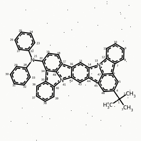 CC(C)(C)c1cc2c3ccccc3n3c4cc5c6ccc(N(c7ccccc7)c7ccccc7)c7c8ccccc8n(c5cc4c(c1)c23)c67